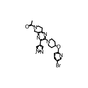 CC(=O)N1CCc2nc(N3CCC(Oc4ccc(Br)cn4)CC3)c(-c3cnn(C)c3)nc2C1